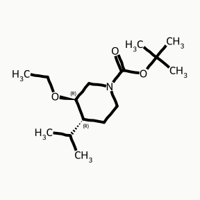 CCO[C@H]1CN(C(=O)OC(C)(C)C)CC[C@@H]1C(C)C